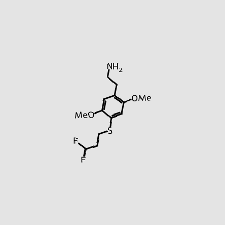 COc1cc(SCCC(F)F)c(OC)cc1CCN